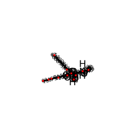 CCCCCCCCCCCCCCCCOC(=O)CCC(NC(=O)C(CCCCNC(=O)OCc1ccccc1)NC(=O)OC(C)(C)C)C(=O)OCCCCCCCCCCCCCCCC